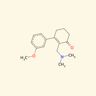 COc1cccc(C2=C(CN(C)C)C(=O)CCC2)c1